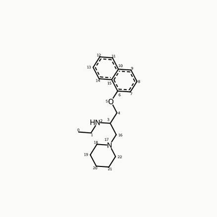 CCNC(COc1cccc2ccccc12)CN1CCCCC1